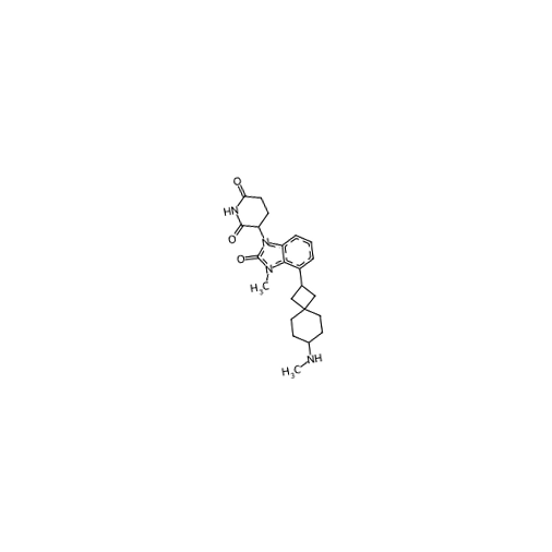 CNC1CCC2(CC1)CC(c1cccc3c1n(C)c(=O)n3C1CCC(=O)NC1=O)C2